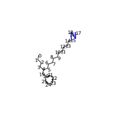 CCCCC(CCCCCCCCCCCN(C)C)Cc1ccccc1